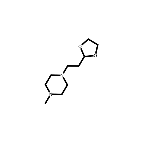 CN1CCN(CCC2OCCO2)CC1